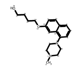 CN1CCN(c2cccc3ccc(OCCCCO)cc23)CC1